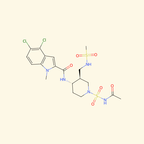 CC(=O)NS(=O)(=O)N1CC[C@H](NC(=O)c2cc3c(Cl)c(Cl)ccc3n2C)[C@@H](CNS(C)(=O)=O)C1